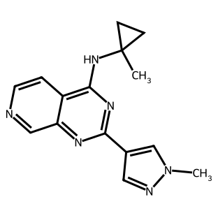 Cn1cc(-c2nc(NC3(C)CC3)c3ccncc3n2)cn1